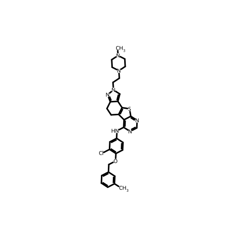 Cc1cccc(COc2ccc(Nc3ncnc4sc5c(c34)CCc3nn(CCN4CCN(C)CC4)cc3-5)cc2Cl)c1